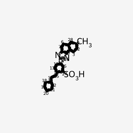 Cc1ccc2c(ccc3nn(-c4ccc(C=Cc5ccccc5)c(S(=O)(=O)O)c4)nc32)c1